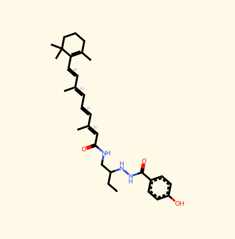 CCC(CNC(=O)/C=C(C)/C=C/C=C(C)/C=C/C1=C(C)CCCC1(C)C)NNC(=O)c1ccc(O)cc1